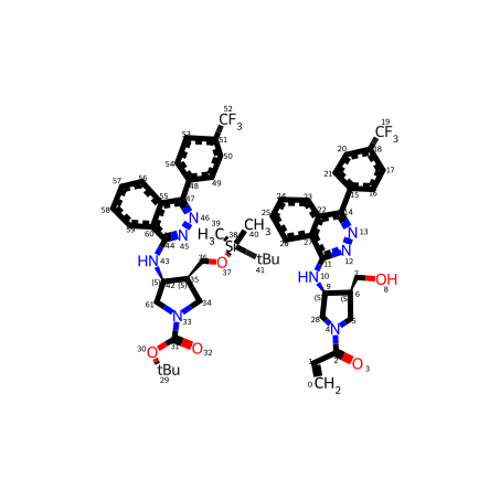 C=CC(=O)N1C[C@H](CO)[C@H](Nc2nnc(-c3ccc(C(F)(F)F)cc3)c3ccccc23)C1.CC(C)(C)OC(=O)N1C[C@H](CO[Si](C)(C)C(C)(C)C)[C@H](Nc2nnc(-c3ccc(C(F)(F)F)cc3)c3ccccc23)C1